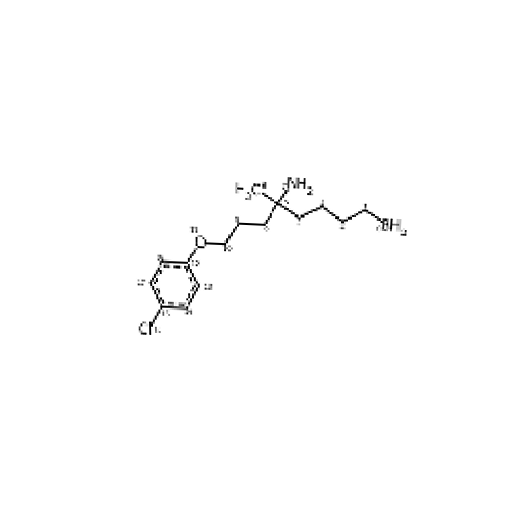 BCCCCC(C)(N)CCCOc1ccc(Cl)cc1